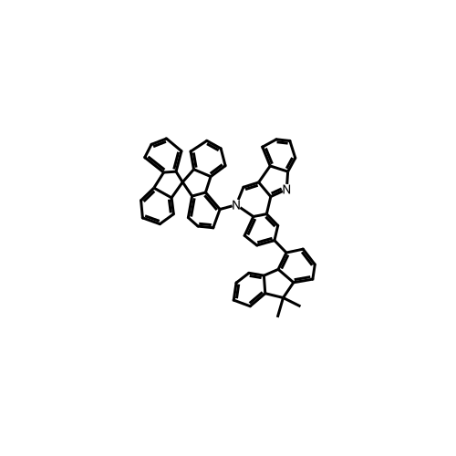 CC1(C)c2ccccc2-c2c(-c3ccc4c(c3)c3nc5ccccc5c-3cn4-c3cccc4c3-c3ccccc3C43c4ccccc4-c4ccccc43)cccc21